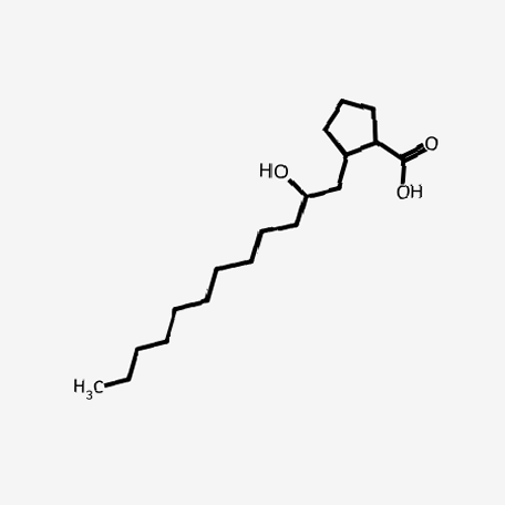 CCCCCCCCCCC(O)CC1CCCC1C(=O)O